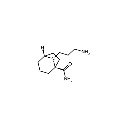 NCCCN1[C@@H]2C[CH]C[C@@]1(C(N)=O)CC2